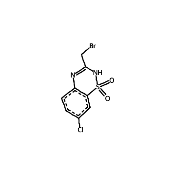 O=S1(=O)NC(CBr)=Nc2ccc(Cl)cc21